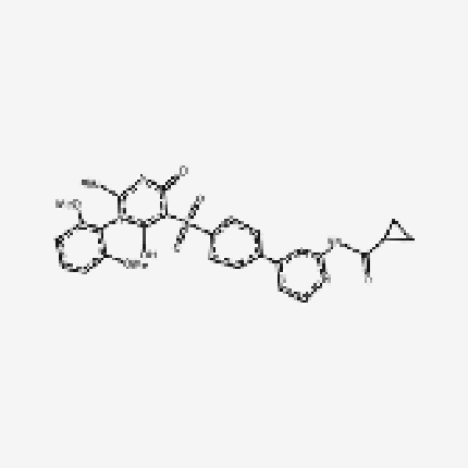 CCCCc1nc(=O)c(S(=O)(=O)c2ccc(-c3ccnc(NC(=O)C4CC4)c3)cc2)c(O)n1-c1c(OC)cccc1OC